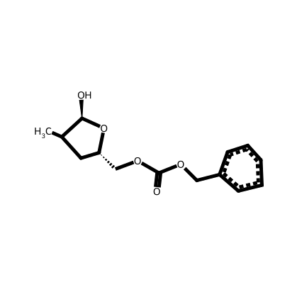 CC1C[C@@H](COC(=O)OCc2ccccc2)O[C@@H]1O